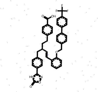 O=C(O)c1ccc(CCC(/C=C/c2ccccc2OCc2ccc(-c3ccc(C(F)(F)F)cc3)cc2)Cc2ccc(-c3noc(=O)[nH]3)cc2)cc1